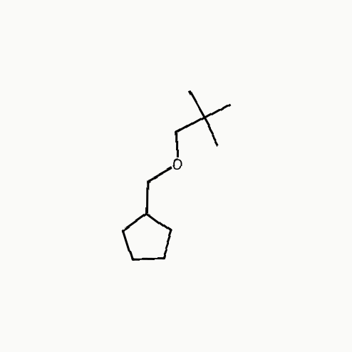 CC(C)(C)COCC1CCCC1